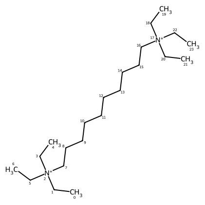 CC[N+](CC)(CC)CCCCCCCCCC[N+](CC)(CC)CC